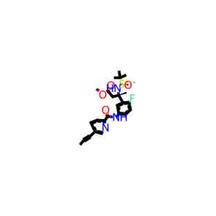 CC#Cc1ccc(C(=O)Nc2ccc(F)c([C@](C)(CC(=O)OC)N[S@+]([O-])C(C)(C)C)c2)nc1